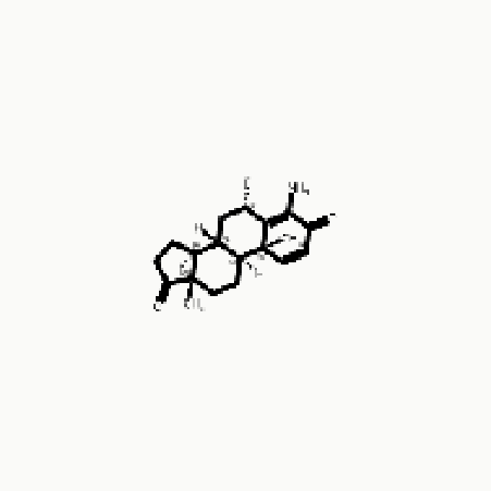 C[C@]12C=CC(=O)C(N)=C1[C@@H](F)C[C@@H]1[C@@H]2CC[C@]2(C)C(=O)CC[C@@H]12